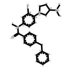 CN(C(=O)c1ccc(Cc2ccccc2)cc1)c1ccc(N2CCC(N(C)C)C2)c(F)c1